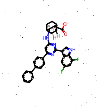 O=C(O)[C@H]1C2CCC(CC2)[C@@H]1Nc1cc(-c2ccc(-c3ccccc3)cc2)nc(-c2c[nH]c3c(F)cc(F)cc23)n1